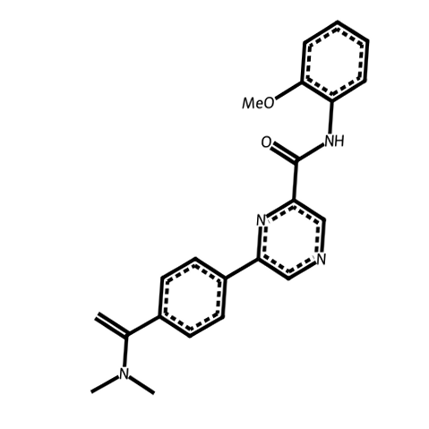 C=C(c1ccc(-c2cncc(C(=O)Nc3ccccc3OC)n2)cc1)N(C)C